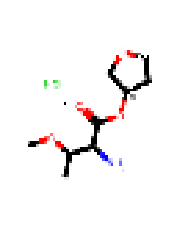 COC(C)C(N)C(=O)O[C@@H]1CCOC1.Cl